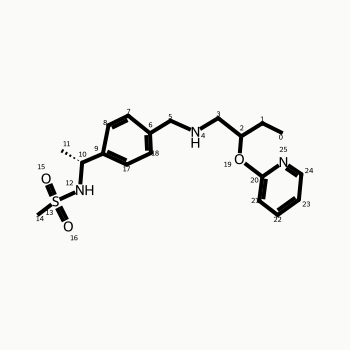 CCC(CNCc1ccc([C@@H](C)NS(C)(=O)=O)cc1)Oc1ccccn1